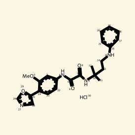 COc1cc(NC(=O)C(=O)NC(C)(C)CCNc2ccccc2)ccc1-c1cnco1.Cl